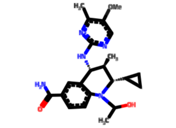 COc1cnc(N[C@H]2c3cc(C(N)=O)ccc3N(C(C)O)[C@@H](C3CC3)[C@@H]2C)nc1C